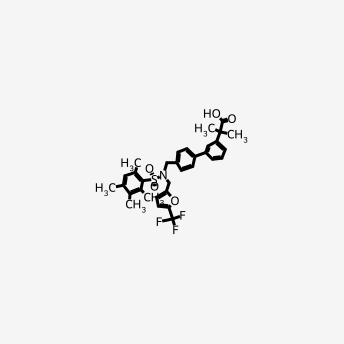 Cc1cc(C)c(S(=O)(=O)N(Cc2ccc(-c3cccc(C(C)(C)C(=O)O)c3)cc2)Cc2ccc(C(F)(F)F)o2)c(C)c1C